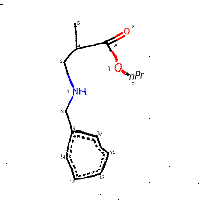 CCCOC(=O)C(C)CNCc1ccccc1